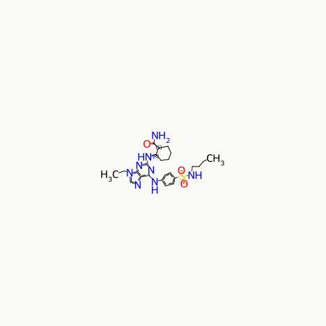 CCCCNS(=O)(=O)c1ccc(Nc2nc(N[C@@H]3CCCC[C@@H]3C(N)=O)nc3c2ncn3CC)cc1